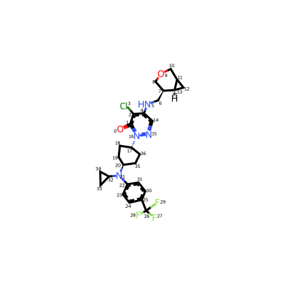 O=c1c(Cl)c(NC[C@H]2COCC3C[C@H]32)cnn1[C@H]1CC[C@H](N(c2ccc(C(F)(F)F)cc2)C2CC2)CC1